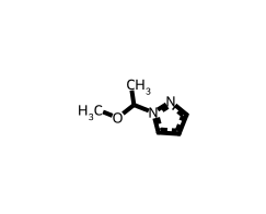 COC(C)n1cccn1